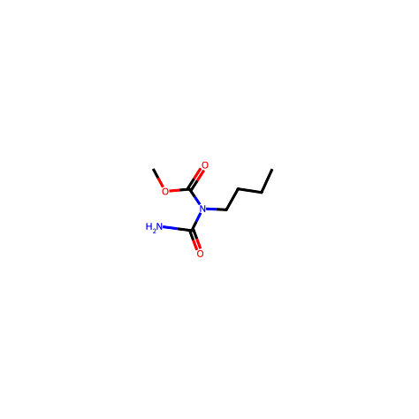 CCCCN(C(N)=O)C(=O)OC